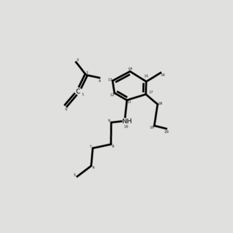 C=C=C(C)C.CCCCCNc1cccc(C)c1CCC